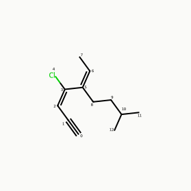 C#C/C=C(Cl)\C(=C/C)CCC(C)C